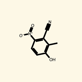 Cc1c(O)ccc([N+](=O)[O-])c1C#N